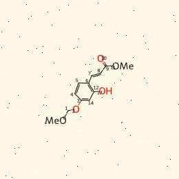 COCOc1ccc(/C=C/C(=O)OC)c(O)c1